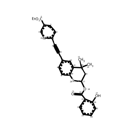 CCOC(=O)c1ccc(C#Cc2ccc3c(c2)C(C)(C)CC(OC(=O)c2ccccc2O)S3)nc1